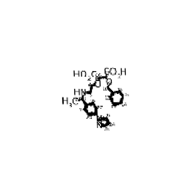 C[C@@H](NCCO[C@@H](C(=O)O)[C@@H](OCc1ccccc1)C(=O)O)c1ccc(-n2cccn2)cc1